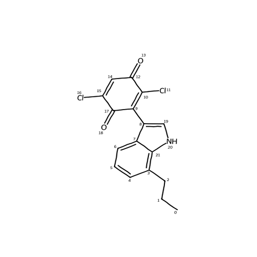 CCCc1cccc2c(C3=C(Cl)C(=O)C=C(Cl)C3=O)c[nH]c12